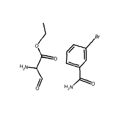 CCOC(=O)C(N)C=O.NC(=O)c1cccc(Br)c1